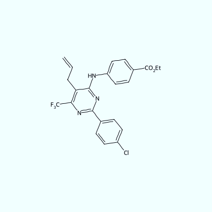 C=CCc1c(Nc2ccc(C(=O)OCC)cc2)nc(-c2ccc(Cl)cc2)nc1C(F)(F)F